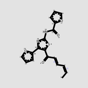 C/C=C\C=C\C(=O)c1sc(NC(=O)c2ccco2)nc1-c1ccco1